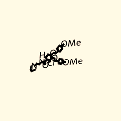 COc1ccc(COc2ccc(C(=O)NCCN3CC=CC3)c(Cl)c2OCc2ccc(OC)cc2)cc1